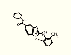 Cc1cccc(Cl)c1Nc1nc2cc(C(=O)NC3CCCCC3)ccc2[nH]1